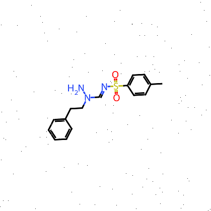 Cc1ccc(S(=O)(=O)N=CN(N)CCc2ccccc2)cc1